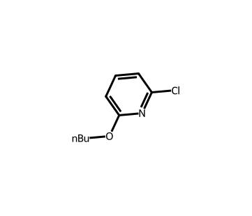 CCCCOc1cccc(Cl)n1